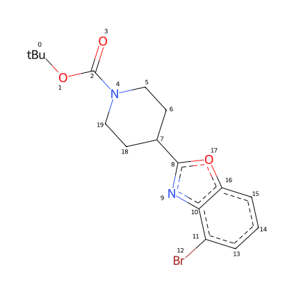 CC(C)(C)OC(=O)N1CCC(c2nc3c(Br)cccc3o2)CC1